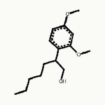 CCCCCC(CO)c1ccc(OC)cc1OC